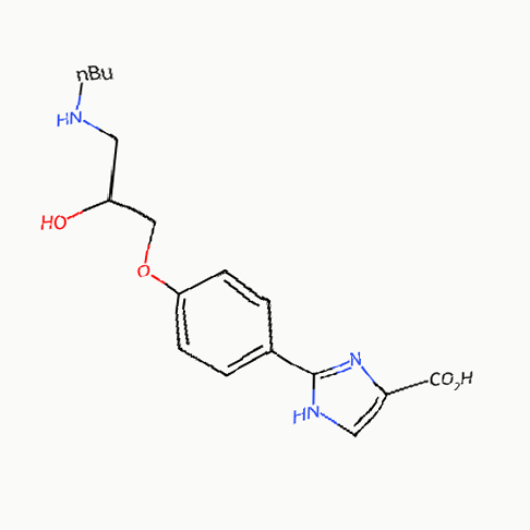 CCCCNCC(O)COc1ccc(-c2nc(C(=O)O)c[nH]2)cc1